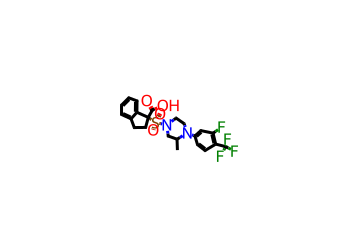 CC1CN(S(=O)(=O)C2(C(=O)O)CCc3ccccc32)CCN1c1ccc(C(F)(F)F)c(F)c1